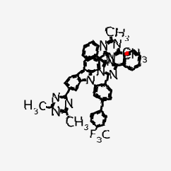 Cc1nc(C)nc(-c2ccc3c4ccc(-c5nc(C)nc(C)n5)cc4n(-c4cc(-c5ccc(C(F)(F)F)cc5)ccc4-c4nc(-c5ccccc5)nc(-c5ccccc5)n4)c3c2)n1